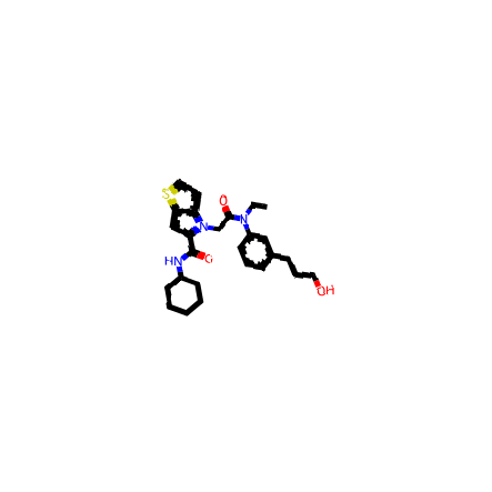 CCN(C(=O)Cn1c(C(=O)NC2CCCCC2)cc2sccc21)c1cccc(CCCO)c1